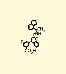 C[C@@H](NC[C@H]1C[C@@H](c2cc(F)cc(C(=O)O)c2)c2ccccc2O1)c1cccc2ccccc12